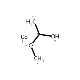 COC(C)O.[Co]